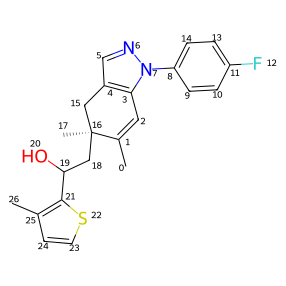 CC1=Cc2c(cnn2-c2ccc(F)cc2)C[C@]1(C)CC(O)c1sccc1C